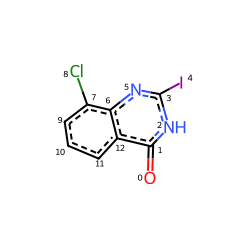 O=c1[nH]c(I)nc2c(Cl)cccc12